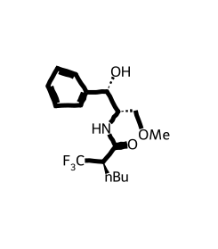 CCCC[C@H](C(=O)N[C@@H](COC)[C@@H](O)c1ccccc1)C(F)(F)F